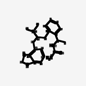 CC(NC(N)=O)c1ccccc1CC(Cc1cccc2c1OCO2)N(C)C